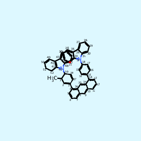 CC1C=C(c2cccc3cc4cccc(-c5ccc(-n6c7ccccc7c7ccccc76)cc5)c4cc23)C=CC1n1c2c(c3ccccc31)C=CCC2